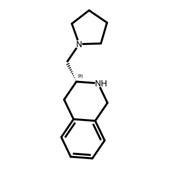 c1ccc2c(c1)CN[C@@H](CN1CCCC1)C2